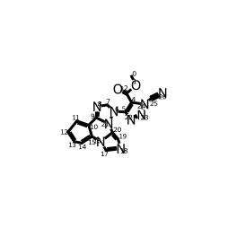 COC(=O)c1c(N2CN=C3c4ccccc4-n4cncc4N32)nnn1C#N